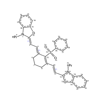 CCCN1/C(=C/C=C2\CCCC(/C=C/c3oc4ccccc4[n+]3CCC)=C2S(=O)(=O)c2ccccc2)Oc2ccccc21